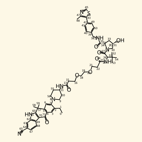 CCc1cc2c(cc1N1CCC(NC(=O)CCOCCOCCC(=O)NC(C(=O)N3C[C@H](O)C[C@H]3C(=O)NCc3ccc(-c4scnc4C)cc3)C(C)(C)C)CC1)C(C)(C)c1[nH]c3cc(C#N)ccc3c1C2=O